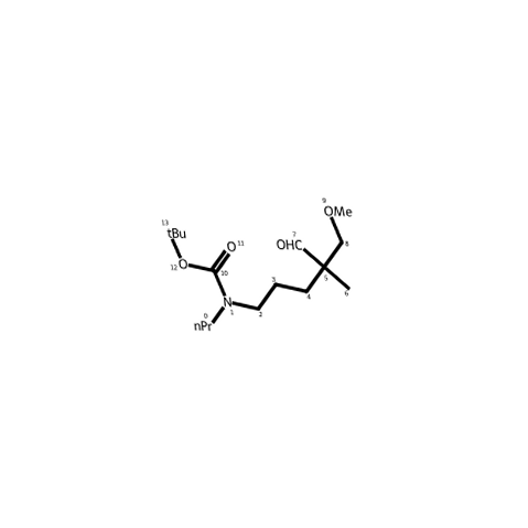 CCCN(CCCC(C)(C=O)COC)C(=O)OC(C)(C)C